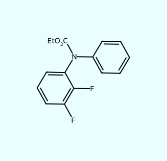 CCOC(=O)N(c1ccccc1)c1cccc(F)c1F